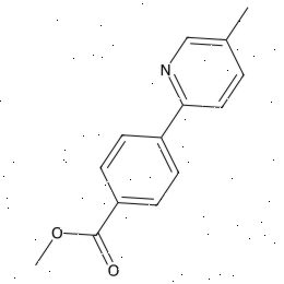 COC(=O)c1ccc(-c2ccc(C)cn2)cc1